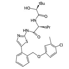 CCC[C@H](NC(=O)[C@@H](O)C(C)(C)C)C(=O)Nc1ncc(-c2ccccc2COc2ccc(Cl)c(C)c2)s1